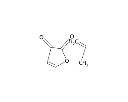 C=CC.O=C1C=COC1=O